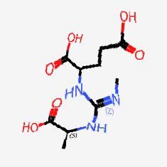 C/N=C(\NC(CCC(=O)O)C(=O)O)N[C@@H](C)C(=O)O